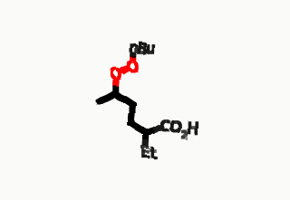 CCCCOOC(C)CCC(CC)C(=O)O